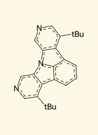 CC(C)(C)c1cncc2c1c1cccc3c4c(C(C)(C)C)cncc4n2c13